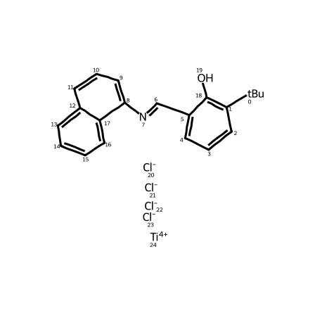 CC(C)(C)c1cccc(C=Nc2cccc3ccccc23)c1O.[Cl-].[Cl-].[Cl-].[Cl-].[Ti+4]